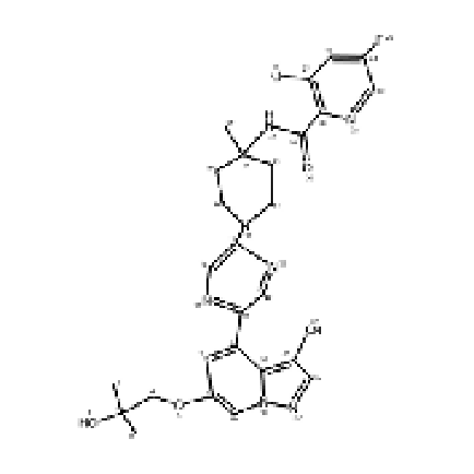 CC(C)(O)COc1cc(-c2cnc(N3CCC(C)(NC(=O)c4ncc(F)cc4Cl)CC3)cn2)c2c(C#N)cnn2c1